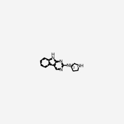 C1CCNC1.Nc1ncc2c(n1)[nH]c1ccccc12